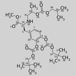 COC(=O)[C@H](Cc1ccc(OC(=O)OCC(C)(C)C)c(OC(=O)OCC(C)(C)C)c1)NCC(C)OC(=O)OCC(C)C